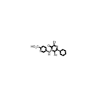 CCc1nc(-c2ccccc2)c(C(C)=O)n(Nc2ccc(C(=O)O)nc2)c1=O